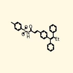 CC/C(=C(\c1ccccc1)c1ccc(/C=C/C(=O)NS(=O)(=O)c2ccc(C)cc2)cc1)c1ccccc1